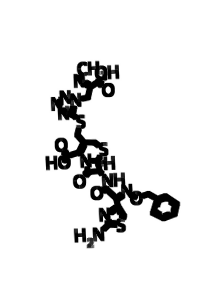 CN=C(Cn1nnnc1SCC1=C(C(=O)O)N2C(=O)C(NC(=O)C(=NOCc3ccccc3)c3csc(N)n3)[C@@H]2SC1)C(=O)O